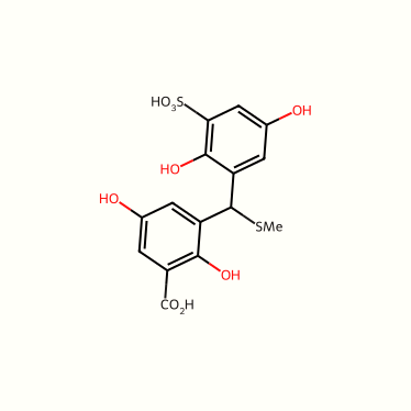 CSC(c1cc(O)cc(C(=O)O)c1O)c1cc(O)cc(S(=O)(=O)O)c1O